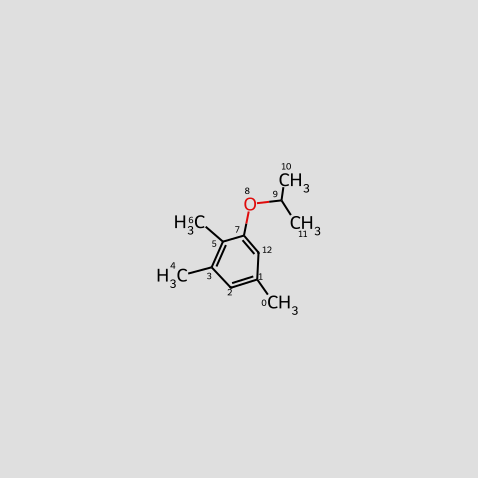 Cc1cc(C)c(C)c(OC(C)C)c1